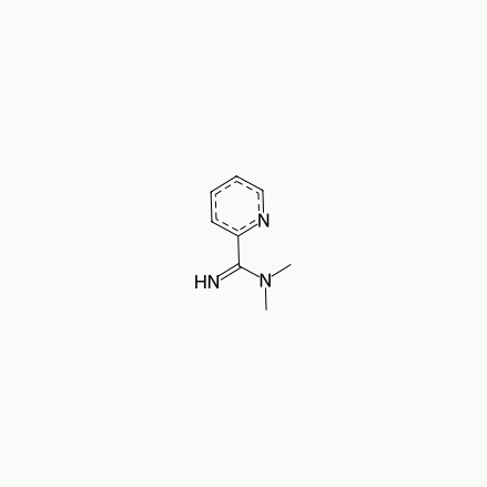 CN(C)C(=N)c1ccccn1